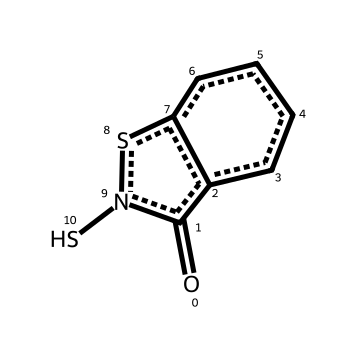 O=c1c2ccccc2sn1S